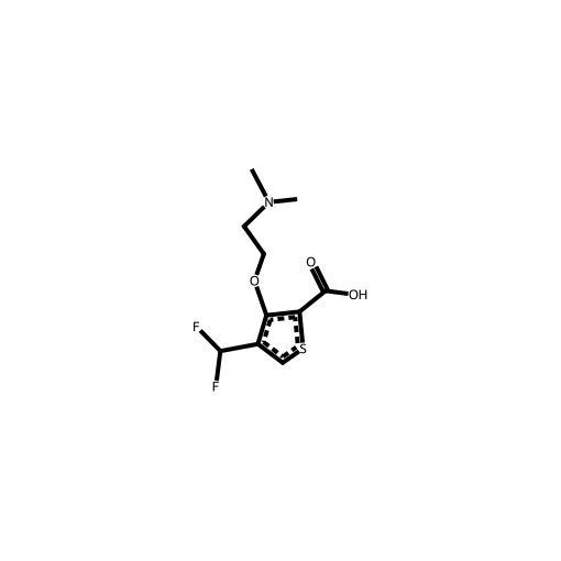 CN(C)CCOc1c(C(F)F)csc1C(=O)O